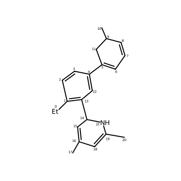 CCc1ccc(C2=CC=CC(C)C2)cc1C1C=C(C)C=C(C)N1